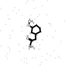 COC1CCCC(CC(N)=O)C1